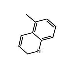 Cc1cccc2c1C=CCN2